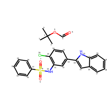 CC(C)(C)OC=O.O=S(=O)(Nc1cc(-c2cc3ccccc3[nH]2)ccc1Cl)c1ccccc1